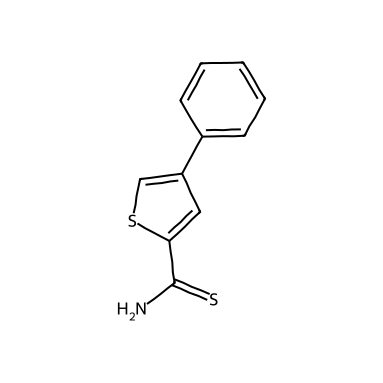 NC(=S)c1cc(-c2ccccc2)cs1